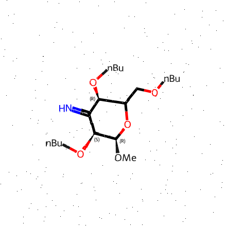 CCCCOCC1O[C@@H](OC)[C@@H](OCCCC)C(=N)[C@H]1OCCCC